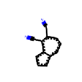 N#Cc1cccc2cccc-2c1C#N